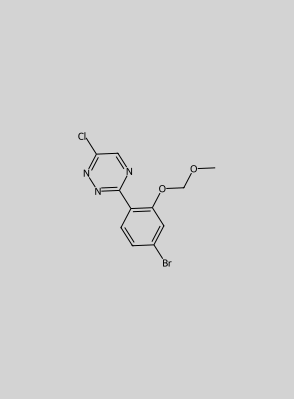 COCOc1cc(Br)ccc1-c1ncc(Cl)nn1